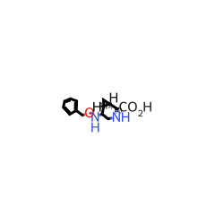 O=C(O)[C@H]1NCC(NOCc2ccccc2)[C@@H]2C[C@H]12